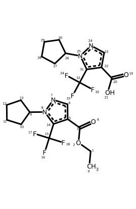 CCOC(=O)c1cnn(C2CCCC2)c1C(F)(F)F.O=C(O)c1cnn(C2CCCC2)c1C(F)(F)F